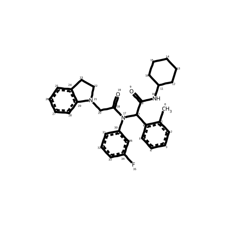 Cc1ccccc1C(C(=O)NC1CCCCC1)N(C(=O)CN1CCc2ccccc21)c1cccc(F)c1